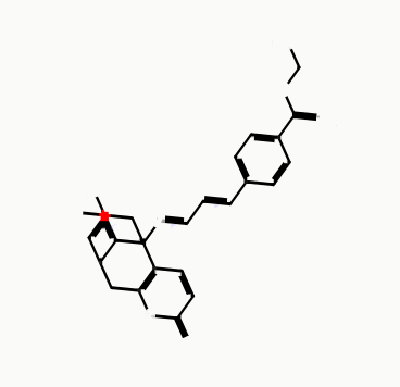 C=C(OCC)c1ccc(/C=C/C=N/C23CC(C)=CC(Cc4[nH]c(=O)ccc42)/C3=C\C)cc1